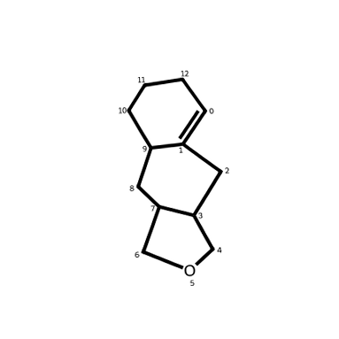 C1=C2CC3COCC3CC2CCC1